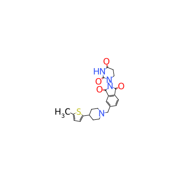 Cc1ccc(C2CCN(Cc3ccc4c(c3)C(=O)N(N3CCC(=O)NC3=O)C4=O)CC2)s1